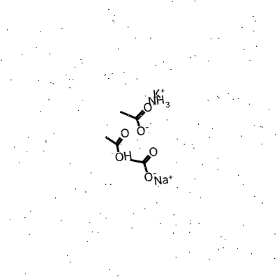 CC(=O)O.CC(=O)[O-].CC(=O)[O-].N.[K+].[Na+]